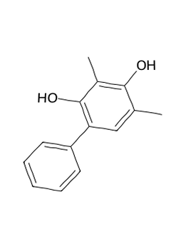 Cc1cc(-c2ccccc2)c(O)c(C)c1O